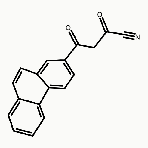 N#CC(=O)CC(=O)c1ccc2c(ccc3ccccc32)c1